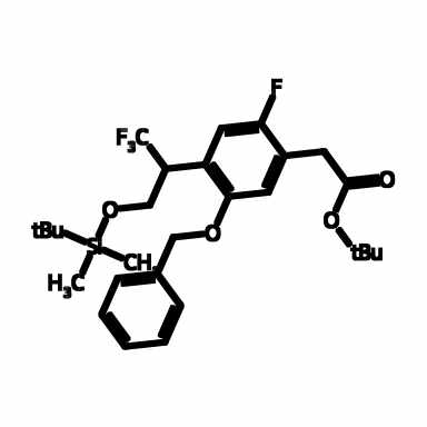 CC(C)(C)OC(=O)Cc1cc(OCc2ccccc2)c(C(CO[Si](C)(C)C(C)(C)C)C(F)(F)F)cc1F